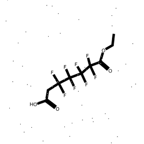 CCOC(=O)C(F)(F)C(F)(F)C(F)(F)C(F)(F)CC(=O)O